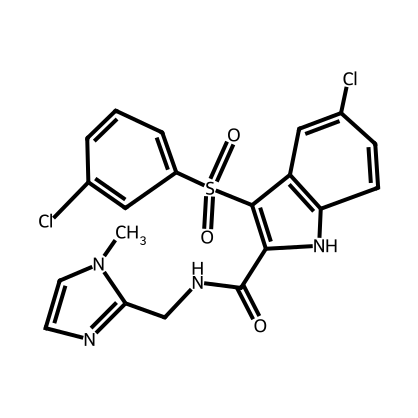 Cn1ccnc1CNC(=O)c1[nH]c2ccc(Cl)cc2c1S(=O)(=O)c1cccc(Cl)c1